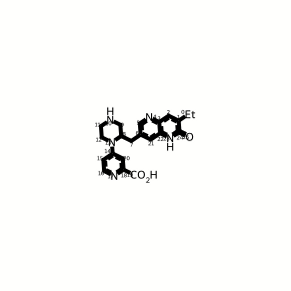 CCc1cc2ncc(CC3CNCCN3c3ccnc(C(=O)O)c3)cc2[nH]c1=O